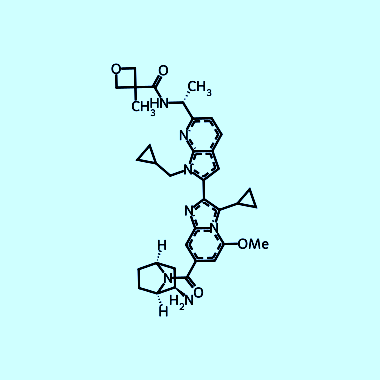 COc1cc(C(=O)N2[C@H]3CC[C@@H]2[C@H](N)C3)cc2nc(-c3cc4ccc([C@@H](C)NC(=O)C5(C)COC5)nc4n3CC3CC3)c(C3CC3)n12